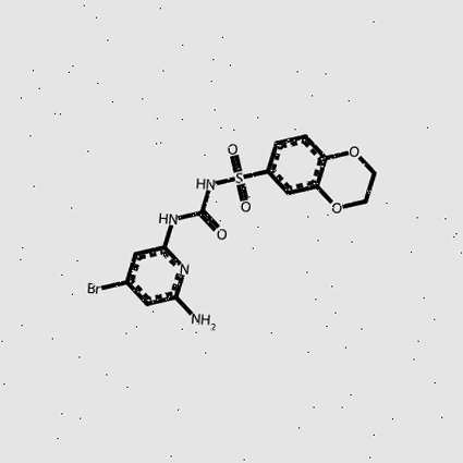 Nc1cc(Br)cc(NC(=O)NS(=O)(=O)c2ccc3c(c2)OCCO3)n1